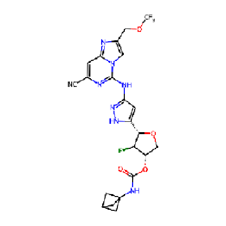 N#Cc1cc2nc(COC(F)(F)F)cn2c(Nc2cc([C@@H]3OC[C@H](OC(=O)NC45CC(C4)C5)[C@H]3F)[nH]n2)n1